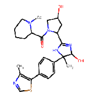 CC(=O)N1CCCCC1C(=O)N1CC(O)CC1C1=NC(O)C(C)(c2ccc(-c3scnc3C)cc2)N1